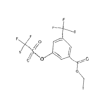 CCOC(=O)c1cc(OS(=O)(=O)C(F)(F)F)cc(C(F)(F)F)c1